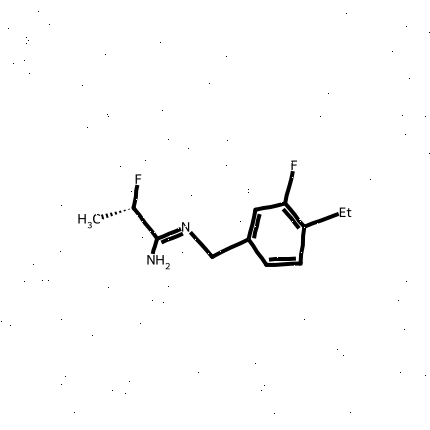 CCc1ccc(C/N=C(\N)[C@H](C)F)cc1F